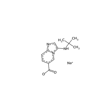 CC(C)(C)Nc1cnc2ccc(C(=O)[O-])cn12.[Na+]